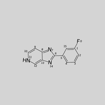 Fc1cccc(-c2nc3cc[nH]cc-3n2)c1